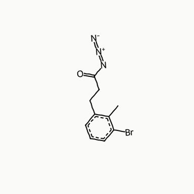 Cc1c(Br)cccc1CCC(=O)N=[N+]=[N-]